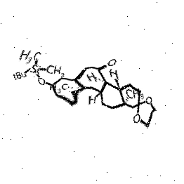 CC(C)(C)[Si](C)(C)OC1CC[C@@]2(C)C(=CC(=O)[C@@H]3[C@@H]2CC[C@@]2(C)[C@H]3CCC23OCCO3)C1